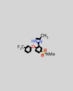 CNS(=O)(=O)c1ccc(Oc2cccc(C(F)(F)F)c2)c(-c2nc(C)c[nH]2)c1